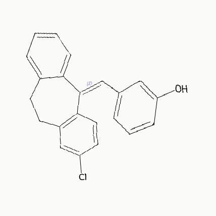 Oc1cccc(/C=C2/c3ccccc3CCc3cc(Cl)ccc32)c1